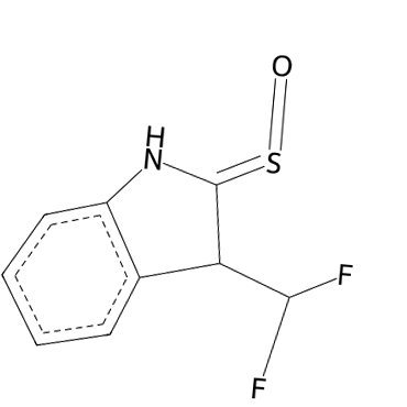 O=S=C1Nc2ccccc2C1C(F)F